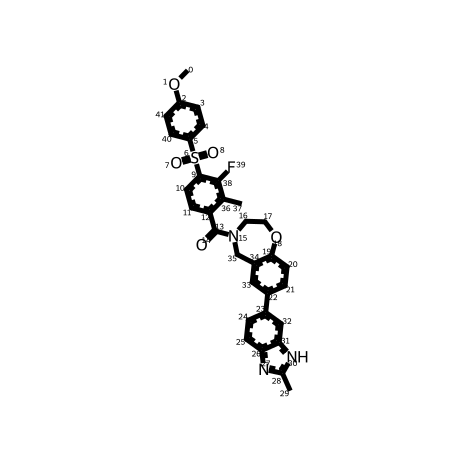 COc1ccc(S(=O)(=O)c2ccc(C(=O)N3CCOc4ccc(-c5ccc6nc(C)[nH]c6c5)cc4C3)c(C)c2F)cc1